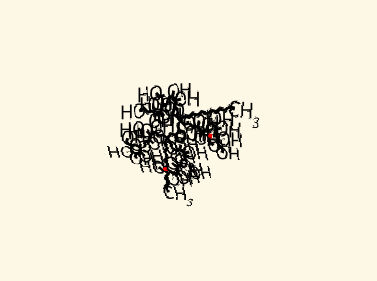 CCCCCCCCCCCCC(CO[C@H](O)/C(O)=C(/O)[C@@H](CCO)O[C@H](O)/C(O)=C(\O)[C@H](O)CCO)(CO[C@H](O)/C(O)=C(\O)[C@@H](CCO)O[C@@H]1OC(CO)[C@@H](O)C(O)C1O)Cc1ccccc1CC(CCCCCCCCCCCC)(CO[C@H](O)/C(O)=C(/O)[C@@H](CCO)O[C@H](O)/C(O)=C(/O)[C@H](O)CCO)CO[C@H](O)/C(O)=C(\O)[C@@H](CCO)O[C@H](O)/C(O)=C(\O)[C@H](O)CCO